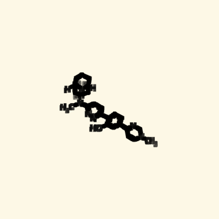 CN1C=CC(c2ccc(-c3ccc(N(C)[C@H]4C[C@H]5CCC[C@@H](C4)N5)nn3)c(O)c2)=NC1